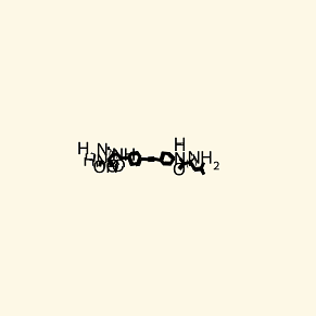 CC(C)C[C@H](N)C(=O)Nc1ccc(C#Cc2ccc(C(=O)N[C@@H](CN)C(=O)NO)cc2)cc1